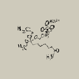 CCOC(CCCCCCC(=O)[SiH3])(OCC)OCC.O=S(=O)([O-])[O-].[Ba+2]